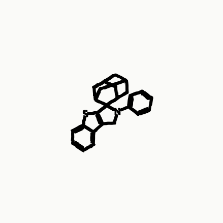 c1ccc(N2Cc3c(sc4ccccc34)C23C2CC4CC(C2)CC3C4)cc1